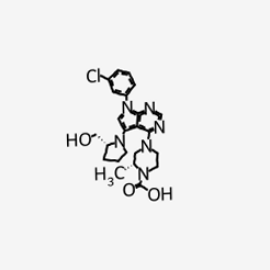 C[C@@H]1CN(c2ncnc3c2c(N2CCC[C@@H]2CO)cn3-c2cccc(Cl)c2)CCN1C(=O)O